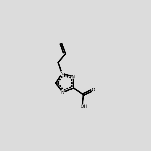 C=CCn1cnc(C(=O)O)n1